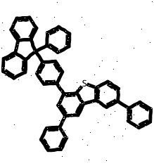 c1ccc(-c2ccc3sc4c(-c5ccc(C6(c7ccccc7)c7ccccc7-c7ccccc76)cc5)cc(-c5ccccc5)cc4c3c2)cc1